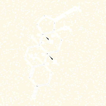 C=C=C1CC[C@H]2[C@@H]3CCC4=CC(=O)CC[C@]4(C)[C@H]3CC[C@]12C